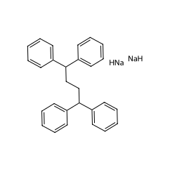 [NaH].[NaH].c1ccc(C(CCC(c2ccccc2)c2ccccc2)c2ccccc2)cc1